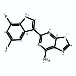 Nc1nc(-c2c[nH]c3c(F)cc(F)cc23)nc2scnc12